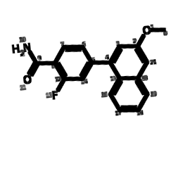 COc1cc(-c2ccc(C(N)=O)c(F)c2)c2ccccc2c1